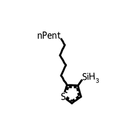 CCCCCCCCCc1sccc1[SiH3]